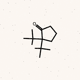 CC(C)(C)C1(C(C)(C)C)CCCC1=O